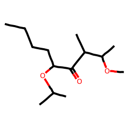 CCCCC(OC(C)C)C(=O)C(C)C(C)OC